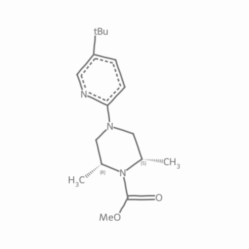 COC(=O)N1[C@H](C)CN(c2ccc(C(C)(C)C)cn2)C[C@@H]1C